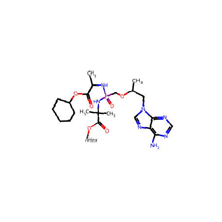 CCCCCCOC(=O)C(C)(C)NP(=O)(COC(C)Cn1cnc2c(N)ncnc21)NC(C)C(=O)OC1CCCCC1